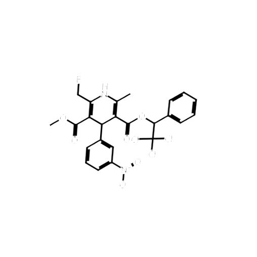 COC(=O)C1=C(CF)NC(C)=C(C(=O)OC(c2ccccc2)C(Cl)(Cl)Cl)C1c1cccc([N+](=O)[O-])c1